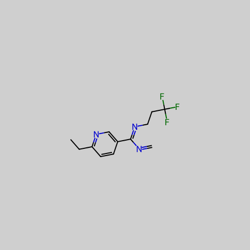 C=N/C(=N\CCC(F)(F)F)c1ccc(CC)nc1